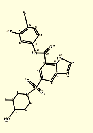 CC1CN(S(=O)(=O)c2cc(C(=O)Nc3ccc(F)c(F)c3)c3[nH]cnc3c2)CCC1O